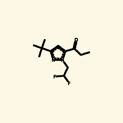 CCC(=O)c1cc(C(C)(C)C)nn1CC(F)F